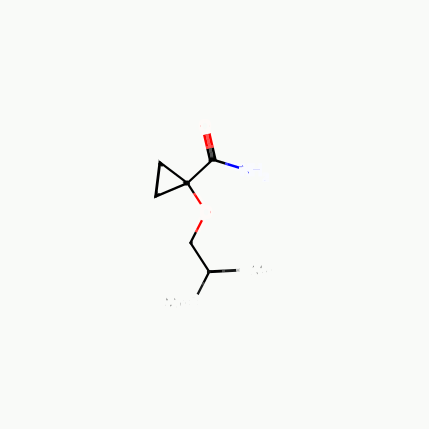 COC(COC1(C(N)=O)CC1)OC